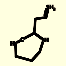 [SiH2]=CCC1CNCCCN1